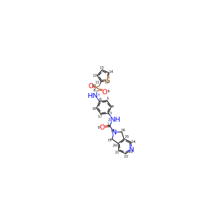 O=C(Nc1ccc(NS(=O)(=O)c2cccs2)cc1)N1Cc2ccncc2C1